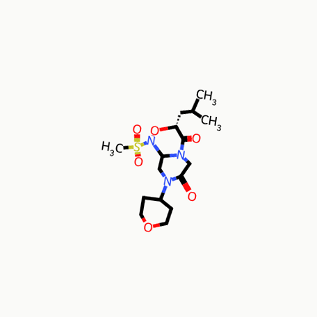 CC(C)C[C@H]1ON(S(C)(=O)=O)C2CN(C3CCOCC3)C(=O)CN2C1=O